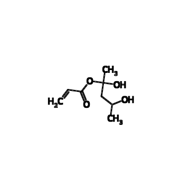 C=CC(=O)OC(C)(O)CC(C)O